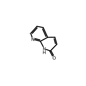 O=c1ccc2cc[c]nc2[nH]1